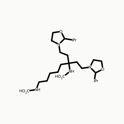 CC(C)C1OCCN1CCC(CCCCCNC(=O)O)(CCN1CCOC1C(C)C)NC(=O)O